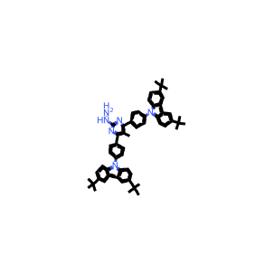 Cc1c(-c2ccc(-n3c4ccc(C(C)(C)C)cc4c4cc(C(C)(C)C)ccc43)cc2)nc(NN)nc1-c1ccc(-n2c3ccc(C(C)(C)C)cc3c3cc(C(C)(C)C)ccc32)cc1